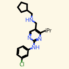 CC(C)c1nc(Nc2cccc(Cl)c2)ncc1CNCC1CCCC1